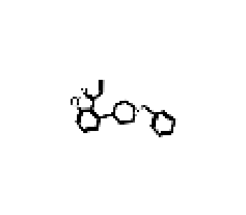 C=Cc1noc2cccc(C3CCN(Cc4ccccc4)CC3)c12